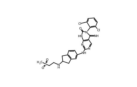 CS(=O)(=O)CCNC1Cc2ccc(Nc3ncc4c(=N)n(-c5c(Cl)cccc5Cl)c(=O)[nH]c4n3)cc2C1